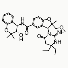 CCC1(CC)CC(=O)N([C@H]2c3cc(C(=O)N[C@@H]4c5ccccc5OC(C)(C)[C@H]4O)ccc3OC2(C)COC)C(=N)N1